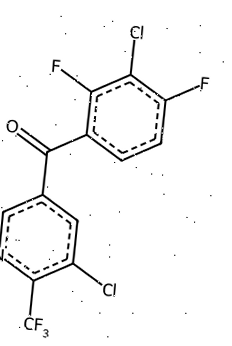 O=C(c1cnc(C(F)(F)F)c(Cl)c1)c1ccc(F)c(Cl)c1F